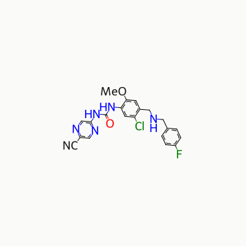 COc1cc(CNCc2ccc(F)cc2)c(Cl)cc1NC(=O)Nc1cnc(C#N)cn1